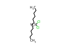 CCCCCCCCCCCC.Cl[SiH2]Cl